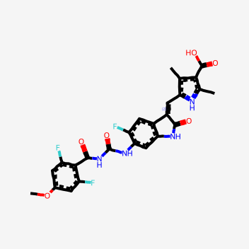 COc1cc(F)c(C(=O)NC(=O)Nc2cc3c(cc2F)/C(=C/c2[nH]c(C)c(C(=O)O)c2C)C(=O)N3)c(F)c1